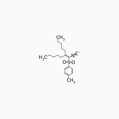 [C-]#[N+]C(=C(CCCCC)CCCCC)S(=O)(=O)c1ccc(C)cc1